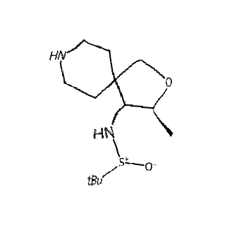 C[C@@H]1OCC2(CCNCC2)C1N[S+]([O-])C(C)(C)C